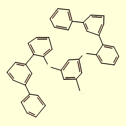 CC(C)(C)c1cc(Nc2ccccc2-c2cccc(-c3ccccc3)c2)cc(Nc2ccccc2-c2cccc(-c3ccccc3)c2)c1